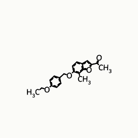 CCOc1ccc(COc2ccc3cc(C(C)=O)oc3c2C)cc1